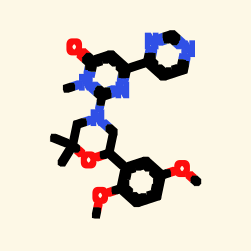 COc1ccc(OC)c(C2CN(c3nc(-c4ccncn4)cc(=O)n3C)CC(C)(C)O2)c1